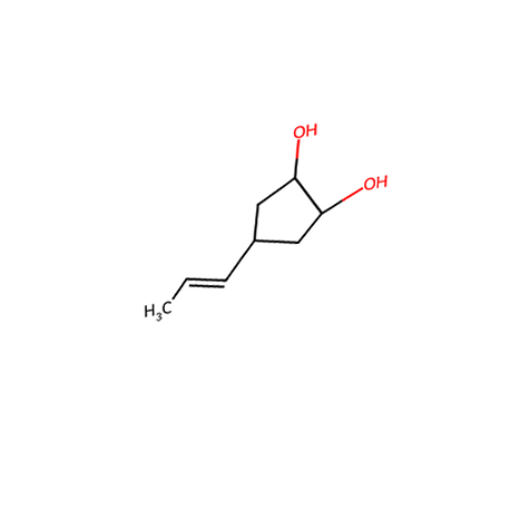 CC=CC1CC(O)C(O)C1